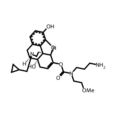 COCCN(CCCN)C(=O)OC1=CC[C@@]2(O)[C@H]3Cc4ccc(O)c5c4[C@@]2(CCN3CC2CC2)[C@H]1O5